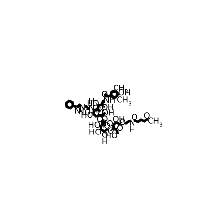 CC(=O)CCCC(=O)NCCO[C@@H]1OC(CO)[C@@H](OC2OC(CO[C@]3(C(=O)O)CC(O)[C@@H](NC(=O)Cn4cc(C5CCCCC5)nn4)C([C@H](O)[C@H](O)CNC(=O)c4cc(C)c(O)c(C)c4)O3)[C@H](O)C(O)[C@@H]2O)C(O)C1O